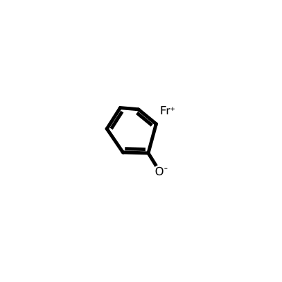 [Fr+].[O-]c1ccccc1